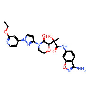 CCOc1cc(-n2ccc(N3CCOC(C(C)(O)C(=O)Nc4ccc5c(N)noc5c4)C3=O)n2)ccn1